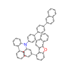 c1ccc(-c2ccccc2N(c2ccc(-c3ccc(-c4ccc5ccccc5c4)cc3)cc2)c2cccc(-c3cccc4oc5c6ccccc6ccc5c34)c2)cc1